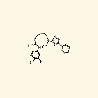 OC1CCCCCN(c2nnc(-c3ccccc3)o2)CCN1c1ccc(Cl)c(F)c1